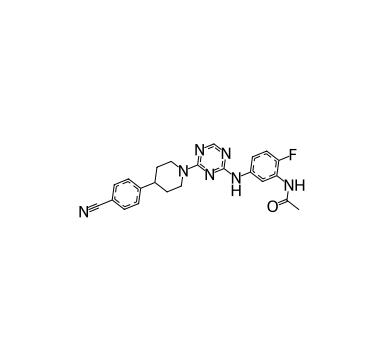 CC(=O)Nc1cc(Nc2ncnc(N3CCC(c4ccc(C#N)cc4)CC3)n2)ccc1F